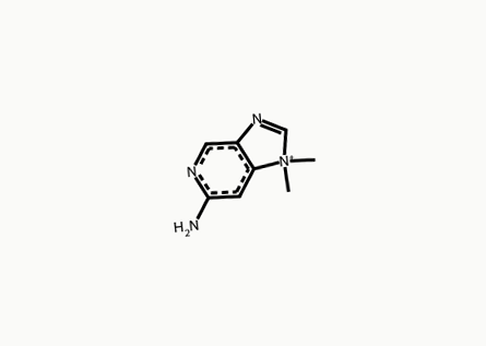 C[N+]1(C)C=Nc2cnc(N)cc21